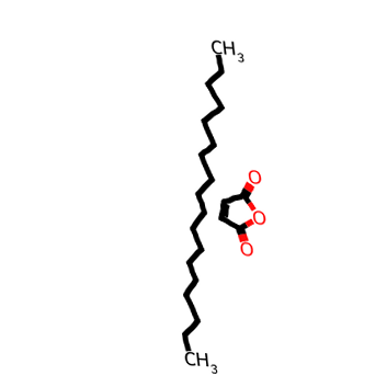 CCCCCCCCCCCCCCCCCC.O=C1C=CC(=O)O1